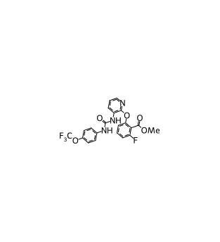 COC(=O)c1c(F)cccc1Oc1ncccc1NC(=O)Nc1ccc(OC(F)(F)F)cc1